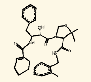 Cc1ccccc1CNC(=O)[C@H]1N(C(=O)[C@@H](O)C(Cc2ccccc2)NC(=O)C2=CCCCC2)CSC1(C)C